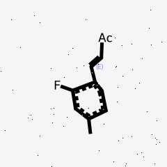 CC(=O)/C=C/c1ccc(C)cc1F